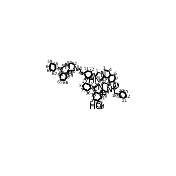 C1=CN2C=Cc3ccccc3C2=CN1.Cl.Cl.O=C(Cc1ccccc1)N1CCN2C[C@@H](c3ccccc3)c3ccccc3[C@@H]2C1.c1ccc(CCN2CCN3C[C@@H](c4ccccc4)c4ccccc4[C@@H]3C2)cc1